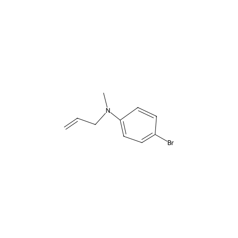 C=CCN(C)c1ccc(Br)cc1